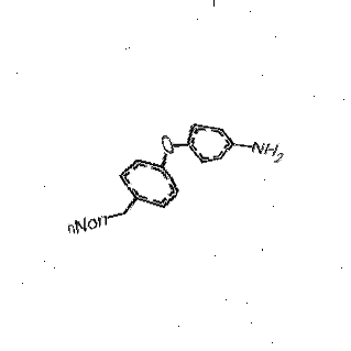 CCCCCCCCCCc1ccc(Oc2ccc(N)cc2)cc1